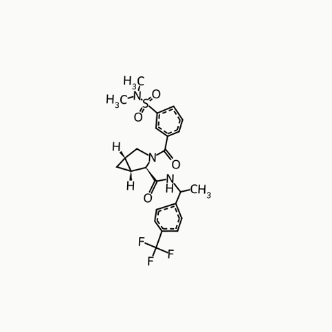 CC(NC(=O)[C@H]1[C@@H]2C[C@@H]2CN1C(=O)c1cccc(S(=O)(=O)N(C)C)c1)c1ccc(C(F)(F)F)cc1